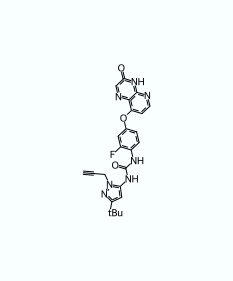 C#CCn1nc(C(C)(C)C)cc1NC(=O)Nc1ccc(Oc2ccnc3[nH]c(=O)cnc23)cc1F